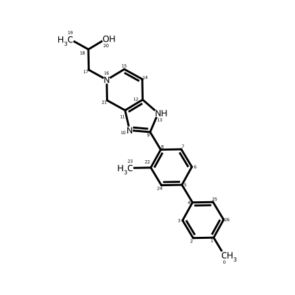 Cc1ccc(-c2ccc(-c3nc4c([nH]3)C=CN(CC(C)O)C4)c(C)c2)cc1